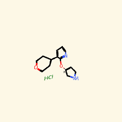 Cl.c1cnc(O[C@@H]2CCNC2)c(C2CCOCC2)c1